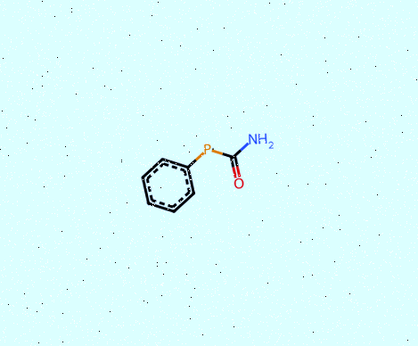 NC(=O)[P]c1ccccc1